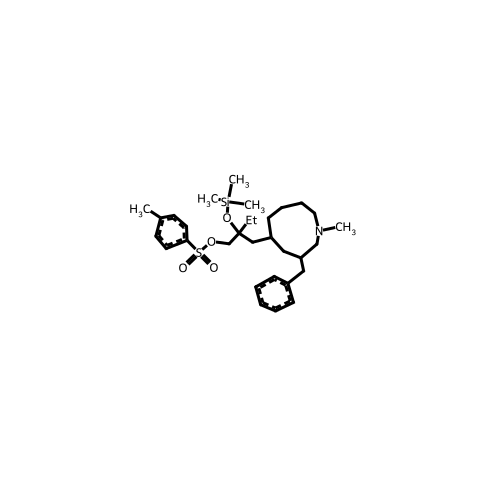 CCC(COS(=O)(=O)c1ccc(C)cc1)(CC1CCCCN(C)CC(Cc2ccccc2)C1)O[Si](C)(C)C